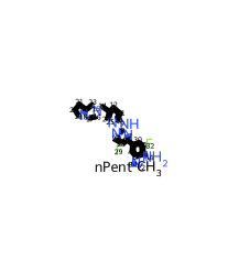 CCCCCN(C)c1cc(-c2nc(Nc3ccc(CN4CCN5CCCC5C4)cn3)ncc2F)cc(F)c1N